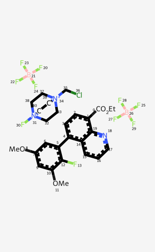 CCOC(=O)c1ccc(-c2cc(OC)cc(OC)c2F)c2cccnc12.F[B-](F)(F)F.F[B-](F)(F)F.F[N+]12CC[N+](CCl)(CC1)CC2